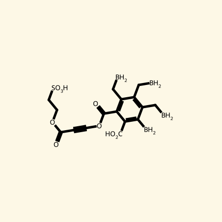 BCc1c(B)c(C(=O)O)c(C(=O)OC#CC(=O)OCCS(=O)(=O)O)c(CB)c1CB